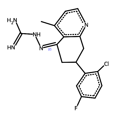 Cc1ccnc2c1/C(=N\NC(=N)N)CC(c1cc(F)ccc1Cl)C2